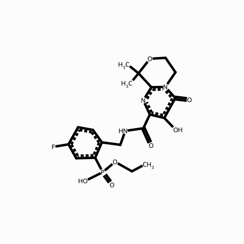 CCOP(=O)(O)c1cc(F)ccc1CNC(=O)c1nc2n(c(=O)c1O)CCOC2(C)C